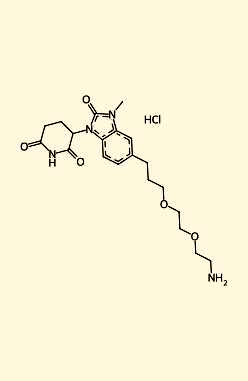 Cl.Cn1c(=O)n(C2CCC(=O)NC2=O)c2ccc(CCCOCCOCCN)cc21